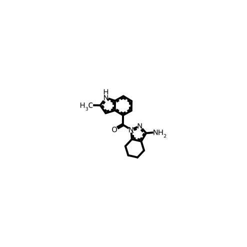 Cc1cc2c(C(=O)n3nc(N)c4c3CCCC4)cccc2[nH]1